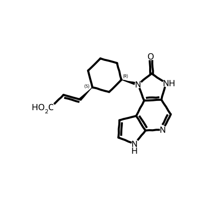 O=C(O)C=C[C@H]1CCC[C@@H](n2c(=O)[nH]c3cnc4[nH]ccc4c32)C1